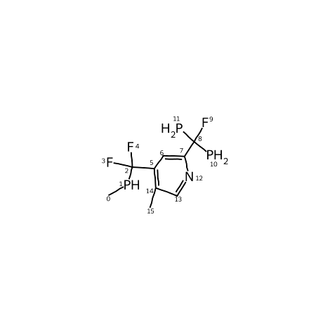 CPC(F)(F)c1cc(C(F)(P)P)ncc1C